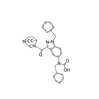 O=C(O)N(Cc1ccccc1)c1ccc2c(c1)c(C(=O)N1CCN3CCC1CC3)nn2Cc1ccccc1